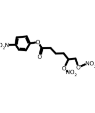 O=C(CCCC(CO[N+](=O)[O-])O[N+](=O)[O-])Oc1ccc([N+](=O)[O-])cc1